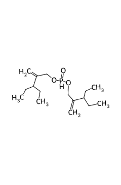 C=C(CO[PH](=O)OCC(=C)C(CC)CC)C(CC)CC